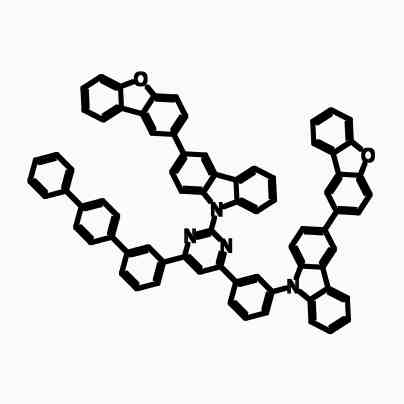 c1ccc(-c2ccc(-c3cccc(-c4cc(-c5cccc(-n6c7ccccc7c7cc(-c8ccc9oc%10ccccc%10c9c8)ccc76)c5)nc(-n5c6ccccc6c6cc(-c7ccc8oc9ccccc9c8c7)ccc65)n4)c3)cc2)cc1